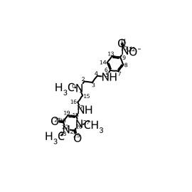 CN(CCCNc1ccc([N+](=O)[O-])cc1)CCNc1cc(=O)n(C)c(=O)n1C